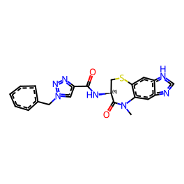 CN1C(=O)[C@@H](NC(=O)c2cn(Cc3ccccc3)nn2)CSc2cc3[nH]cnc3cc21